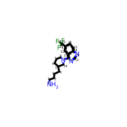 NCCCCC1CCCN(c2ncnc3ccc(C(F)(F)F)cc23)C1